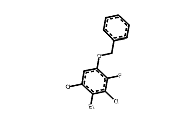 CCc1c(Cl)cc(OCc2ccccc2)c(F)c1Cl